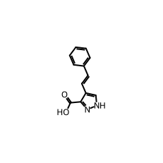 O=C(O)c1n[nH]cc1C=Cc1ccccc1